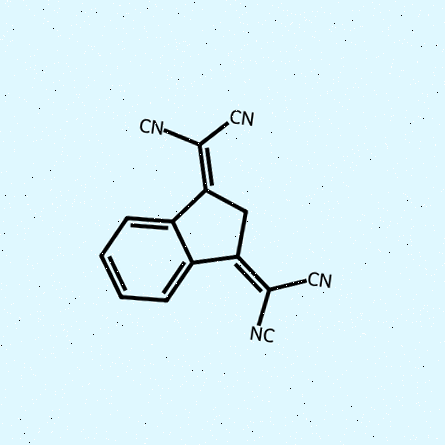 [C-]#[N+]/C(C#N)=C1/C/C(=C(\C#N)[N+]#[C-])c2ccccc21